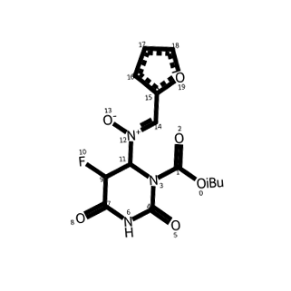 CC(C)COC(=O)N1C(=O)NC(=O)C(F)C1[N+]([O-])=Cc1ccco1